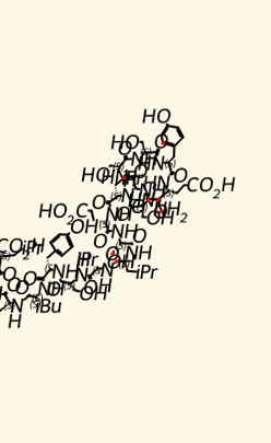 CC[C@H](C)[C@H](NC(=O)[C@H](Cc1ccc(O)cc1)NC(=O)[C@H](CO)NC(=O)[C@@H](NC(=O)[C@H](CC(C)C)NC(=O)[C@H](CO)NC(=O)[C@H](CCC(=O)O)NC(=O)[C@H](CC(C)C)NC(=O)[C@H](CO)NC(=O)[C@H](CCC(=O)O)NC(=O)[C@H](Cc1ccc(O)cc1)NC(=O)[C@H](CO)NC(=O)[C@H](CO)NC(=O)CNC(=O)CN)C(C)C)C(=O)N[C@@H](CO)C(=O)N[C@@H](CO)C(=O)N[C@@H](CC(C)C)C(=O)O